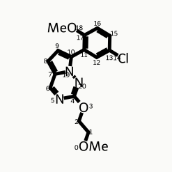 COCCOc1ncc2ccc(-c3cc(Cl)ccc3OC)n2n1